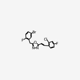 Fc1ccc(/C=C/c2nnc(Cc3cc(Br)ccc3F)o2)c(Cl)c1